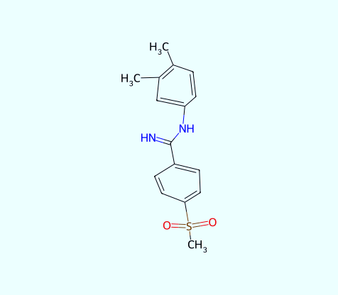 Cc1ccc(NC(=N)c2ccc(S(C)(=O)=O)cc2)cc1C